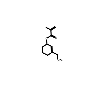 C=C(C)C(=O)OC1C=C(COC)CCC1